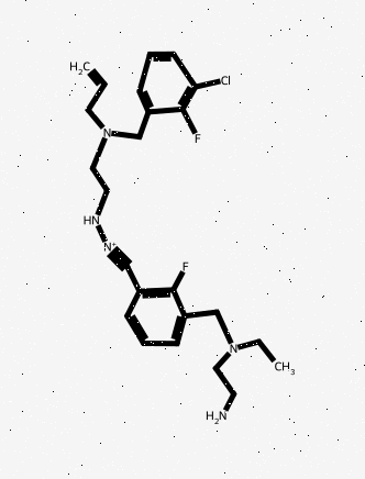 C=CCN(CCN[N+]#Cc1cccc(CN(CC)CCN)c1F)Cc1cccc(Cl)c1F